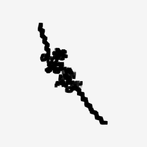 C#C[C@]1(COC(=O)CCCCCCCCC)O[C@@H](n2cnc3c(NC(=O)CCCCCCCCCCCCC)nc(F)nc32)C[C@@H]1O[Si](C)(C)C(C)(C)C